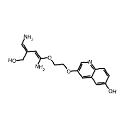 N/C=C(\C=C(/N)OCCOc1cnc2ccc(O)cc2c1)CO